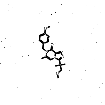 COCC(C)(C)c1ncc2c(=O)n(Cc3ccc(OC)cc3)c(C)cn12